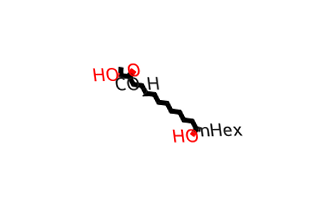 CCCCCCC(O)CCCCCCCCCCC(=O)C(C)(O)C(=O)O